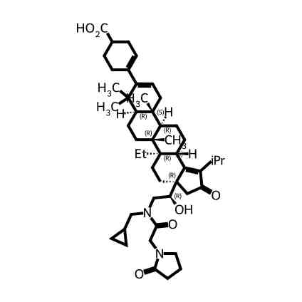 CC[C@@]12CC[C@@]3([C@@H](O)CN(CC4CC4)C(=O)CN4CCCC4=O)CC(=O)C(C(C)C)=C3[C@H]1CC[C@@H]1[C@@]3(C)CC=C(C4=CCC(C(=O)O)CC4)C(C)(C)[C@@H]3CC[C@]12C